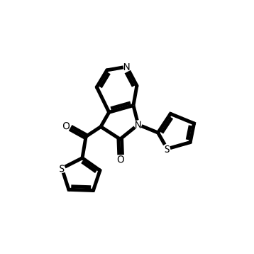 O=C(c1cccs1)C1C(=O)N(c2cccs2)c2cnccc21